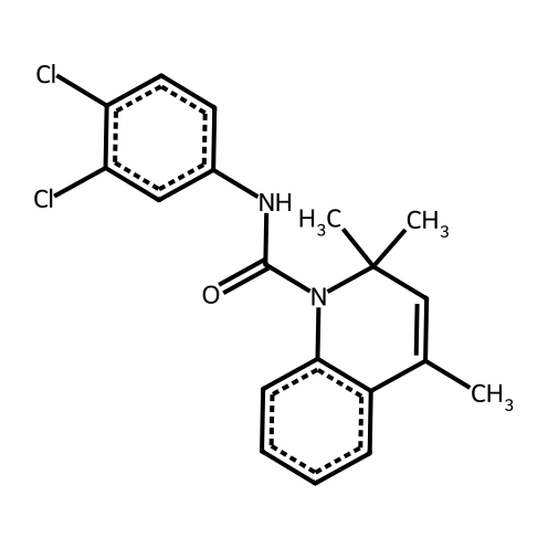 CC1=CC(C)(C)N(C(=O)Nc2ccc(Cl)c(Cl)c2)c2ccccc21